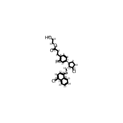 O=C(CCc1ccc([C@H]2CCC(Cl)[C@@H]2CSc2ccc(Cl)c3ccccc23)cc1F)OCCO